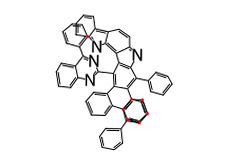 c1ccc(-c2ccccc2-c2ccccc2-c2c(-c3ccccc3)c(-c3ccccc3)c3c(c2-c2nc(-c4ccccc4)c4ccccc4n2)-c2c4c(ccc2=N3)=c2ccccc2=N4)cc1